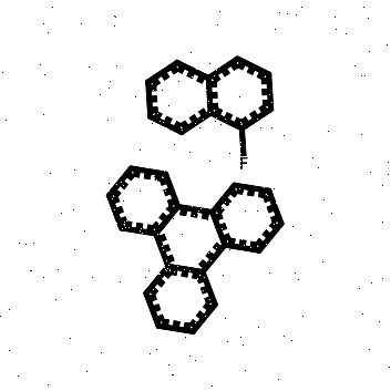 Fc1cccc2ccccc12.c1ccc2c(c1)c1ccccc1c1ccccc21